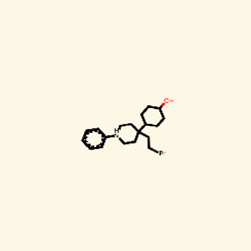 CC(C)CCC1(C2CCC(O)CC2)CC[SiH](c2ccccc2)CC1